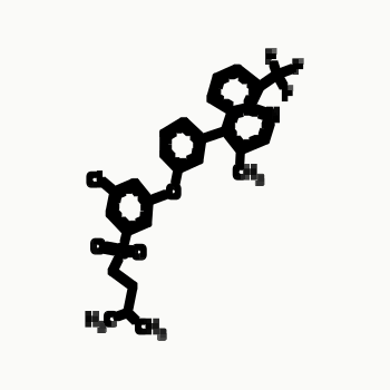 Cc1cnc2c(C(F)(F)F)cccc2c1-c1cccc(Oc2cc(Cl)cc(S(=O)(=O)CCC(C)C)c2)c1